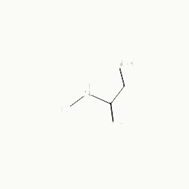 CCCCCCC(CCC)N[C]=O